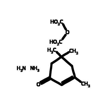 CC1=CC(=O)CC(C)(C)C1.N.N.O=C(O)OC(=O)O